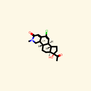 CC(=O)[C@@]1(O)CC[C@H]2[C@@H]3C=C(Cl)C4=CC(=O)N(C)C[C@]4(C)[C@H]3CC[C@@]21C